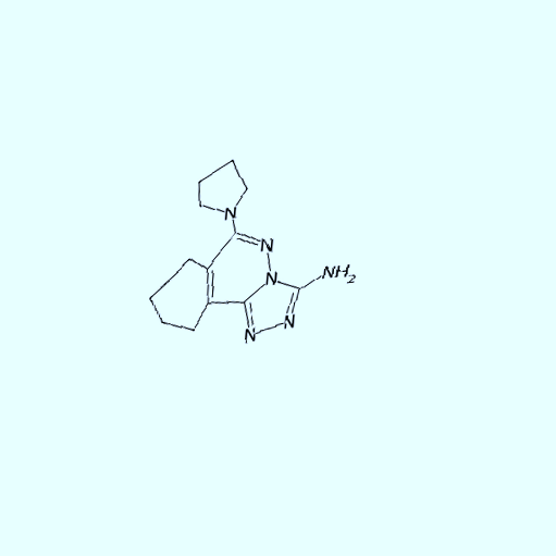 Nc1nnc2c3c(c(N4CCCC4)nn12)CCCC3